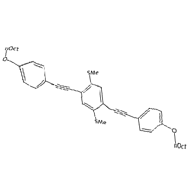 CCCCCCCCOc1ccc(C#Cc2cc(SC)c(C#Cc3ccc(OCCCCCCCC)cc3)cc2SC)cc1